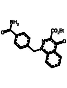 CCOC(=O)c1nn(Cc2ccc(C(N)=O)cc2)c2ccccc2c1=O